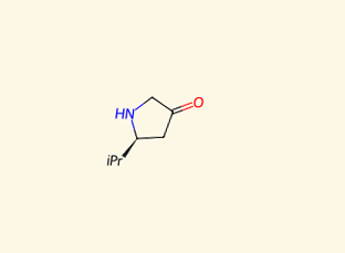 CC(C)[C@@H]1CC(=O)CN1